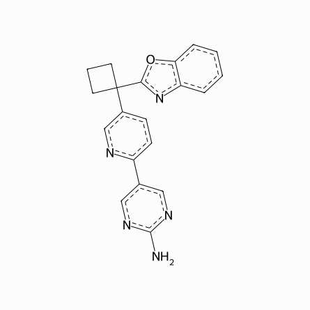 Nc1ncc(-c2ccc(C3(c4nc5ccccc5o4)CCC3)cn2)cn1